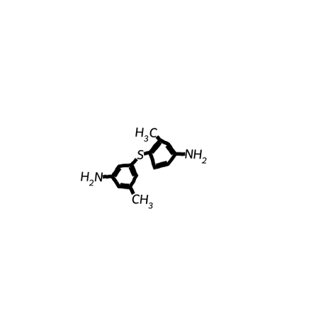 Cc1cc(N)cc(Sc2ccc(N)cc2C)c1